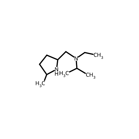 CCN(CC1CCC(C)N1)C(C)C